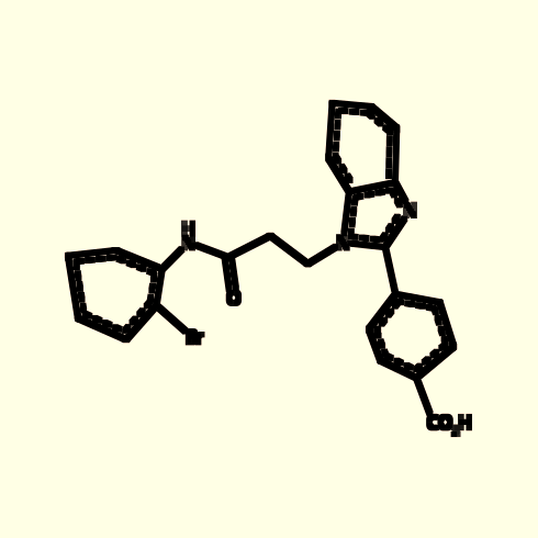 O=C(CCn1c(-c2ccc(C(=O)O)cc2)nc2ccccc21)Nc1ccccc1Br